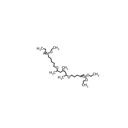 CCO[SiH](CCCCCOC(C)CN(C)CC(C)OCCCCC[SiH](OCC)OCC)OCC